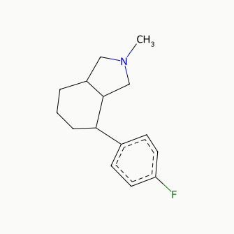 CN1CC2CCCC(c3ccc(F)cc3)C2C1